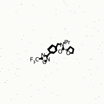 CC(C)N(Cc1ccc(-c2noc(C(F)(F)F)n2)cc1)C(=O)[C@@H]1CCCO1